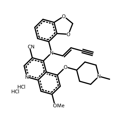 C#CC=CN(c1cccc2c1OCO2)c1c(C#N)cnc2cc(OC)cc(OC3CCN(C)CC3)c12.Cl.Cl